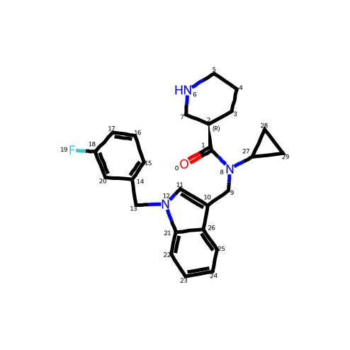 O=C([C@@H]1CCCNC1)N(Cc1cn(Cc2cccc(F)c2)c2ccccc12)C1CC1